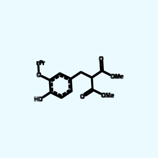 CCCOc1cc(CC(C(=O)OC)C(=O)OC)ccc1O